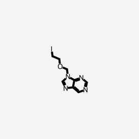 ICCOCn1cnc2cncnc21